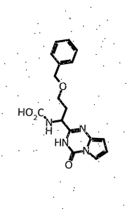 O=C(O)NC(CCOCc1ccccc1)c1nc2cccn2c(=O)[nH]1